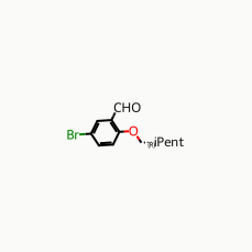 CCC[C@@H](C)COc1ccc(Br)cc1C=O